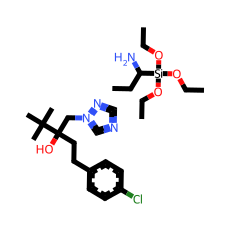 CC(C)(C)C(O)(CCc1ccc(Cl)cc1)Cn1cncn1.CCO[Si](OCC)(OCC)C(N)CC